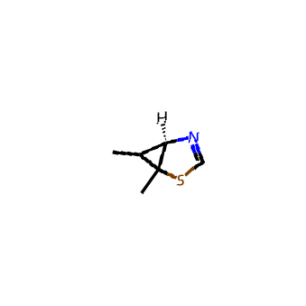 CC1[C@H]2N=CSC12C